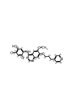 COc1cc2c(Nc3cc(O)c(Cl)cc3F)ncnc2cc1OCCCc1ccncc1